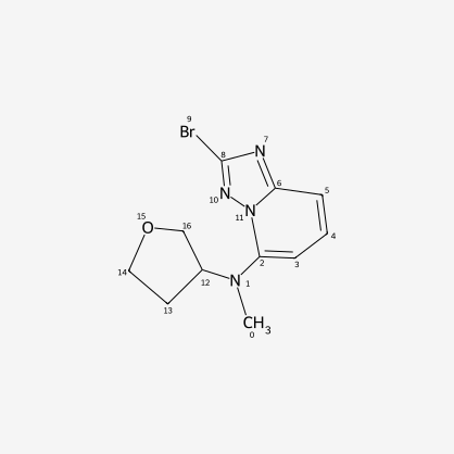 CN(c1cccc2nc(Br)nn12)C1CCOC1